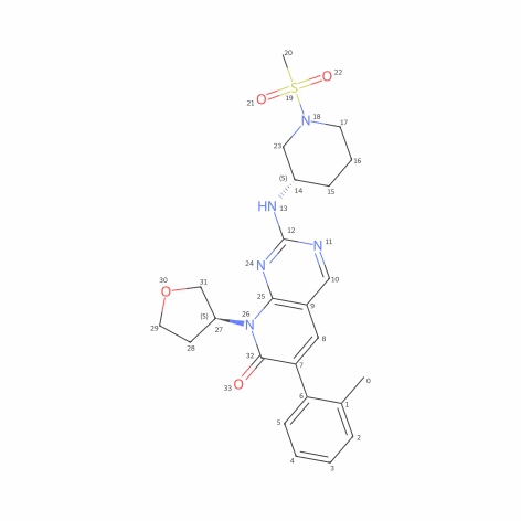 Cc1ccccc1-c1cc2cnc(N[C@H]3CCCN(S(C)(=O)=O)C3)nc2n([C@H]2CCOC2)c1=O